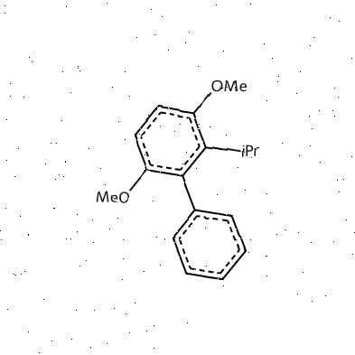 COc1ccc(OC)c(C(C)C)c1-c1ccccc1